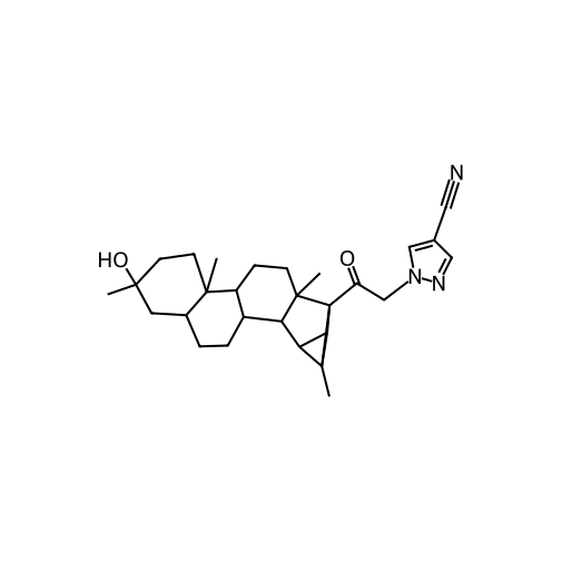 CC1(O)CCC2(C)C(CCC3C2CCC2(C)C3C3C4C3(C)C42C(=O)Cn2cc(C#N)cn2)C1